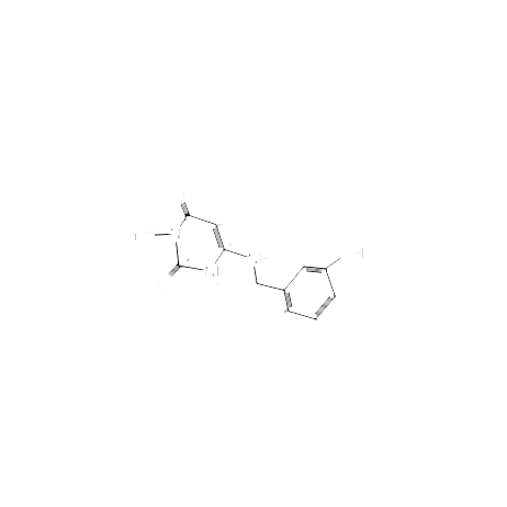 Cc1cccc(CNc2cc(=O)n(C(C)C)c(=O)[nH]2)c1